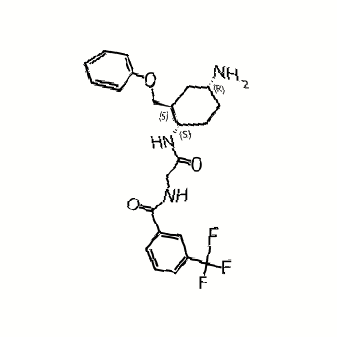 N[C@@H]1CC[C@H](NC(=O)CNC(=O)c2cccc(C(F)(F)F)c2)[C@@H](COc2ccccc2)C1